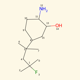 CC(C)(F)CC(C)(C)C1CCC(N)C(O)C1